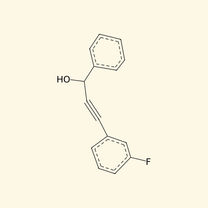 OC(C#Cc1cccc(F)c1)c1ccccc1